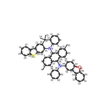 Cc1ccc2c(N3c4ccccc4C(C)(C)c4cc5c(cc43)sc3ccccc35)c3cc(C)ccc3c(N(c3ccccc3)c3ccc4oc5ccccc5c4c3)c2c1